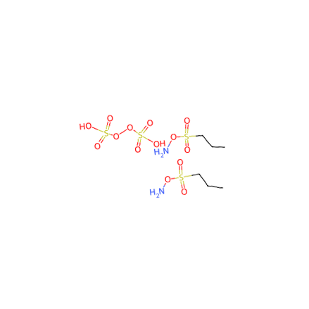 CCCS(=O)(=O)ON.CCCS(=O)(=O)ON.O=S(=O)(O)OOS(=O)(=O)O